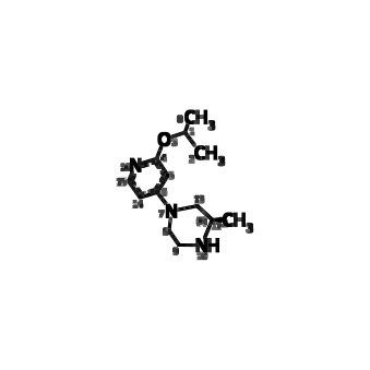 CC(C)Oc1cc(N2CCN[C@H](C)C2)ccn1